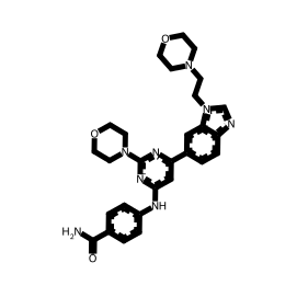 NC(=O)c1ccc(Nc2cc(-c3ccc4ncn(CCN5CCOCC5)c4c3)nc(N3CCOCC3)n2)cc1